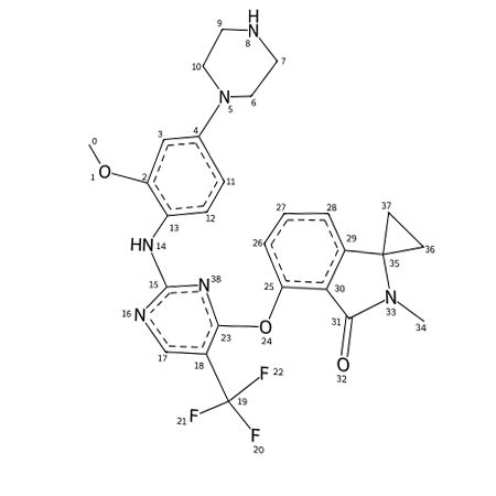 COc1cc(N2CCNCC2)ccc1Nc1ncc(C(F)(F)F)c(Oc2cccc3c2C(=O)N(C)C32CC2)n1